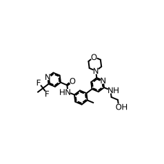 Cc1ccc(NC(=O)c2ccnc(C(C)(F)F)c2)cc1-c1cc(NCCO)nc(N2CCOCC2)c1